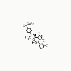 COC(=O)c1ccc([C@H](C)NC(=O)c2c(Cl)sc(Cl)c2C(O)c2cccc(Cl)c2)cc1